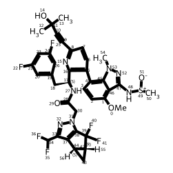 COc1ccc(-c2ccc(C#CC(C)(C)O)nc2[C@H](Cc2cc(F)cc(F)c2)NC(=O)Cn2nc(C(F)F)c3c2C(F)(F)[C@@H]2C[C@H]32)c2c1c(N[S+](C)[O-])nn2C